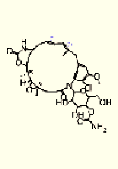 COc1cc2cc(c1Cl)N(C1OC(CO)C(OC(N)=O)C(O)C1O)C(=O)CC[C@]1(C)O[C@H]1[C@H](C)C1CC(C/C=C/C=C(\C)C2)NC(=O)O1